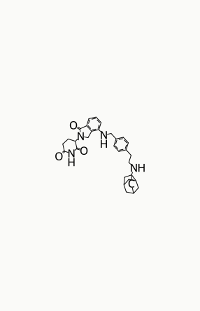 O=C1CCC(N2Cc3c(NCc4ccc(CCNC56CC7CC(CC5C7)C6)cc4)cccc3C2=O)C(=O)N1